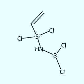 C=C[Si](Cl)(Cl)NB(Cl)Cl